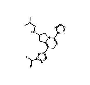 CN(C)SNC1CC2=C(c3cnn(C(F)F)c3)CN=C(c3nccs3)N2C1